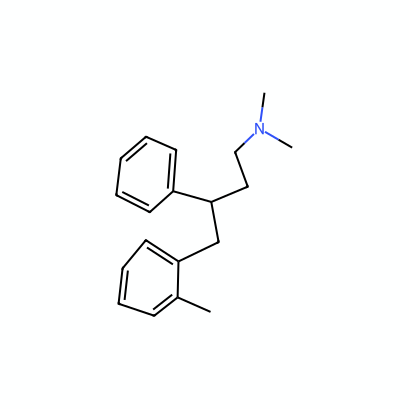 Cc1ccccc1CC(CCN(C)C)c1ccccc1